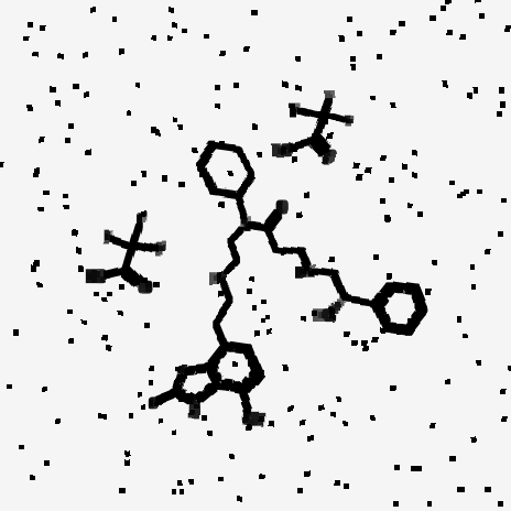 O=C(CCNC[C@@H](O)c1ccccc1)N(CCNCCc1ccc(O)c2[nH]c(=O)sc12)C1CCCCC1.O=C(O)C(F)(F)F.O=C(O)C(F)(F)F